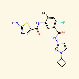 Cc1cc(F)c(C(=O)Nc2ccn(C3CCC3)n2)cc1NC(=O)c1cnc(N)s1